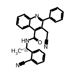 C[C@H](NC(=O)c1c(CC#N)c(-c2ccccc2)nc2ccccc12)c1ccccc1C#N